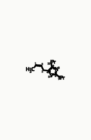 C/C=C\Cc1sc(C(C)C)nc1C(C)C